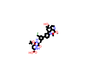 CCn1c(-c2cccnc2[C@H](C)OC)c(CC(C)(C)CO)c2cc(-c3cc(CF)cc(C[C@H](NC(=O)OC(C)(C)C)C(=O)N4CCC[C@@H](C(=O)O)N4)c3)ccc21